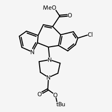 COC(=O)C1=Cc2cccnc2C(N2CCN(C(=O)OC(C)(C)C)CC2)c2ccc(Cl)cc21